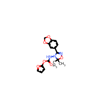 CC1(C)ON=C(c2ccc3c(c2)OCO3)N1NC(=O)Oc1ccco1